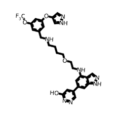 Oc1cc(-c2cc(NCCOCCCCNCc3cc(Oc4cn[nH]c4)cc(OC(F)(F)F)c3)c3cn[nH]c3c2)cnn1